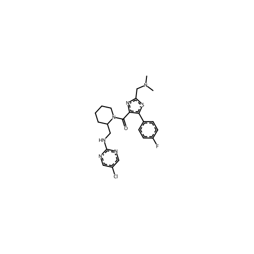 CN(C)Cc1nc(C(=O)N2CCCCC2CNc2ncc(Cl)cn2)c(-c2ccc(F)cc2)s1